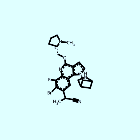 CC(C#N)c1cc2c(nc(OC[C@@H]3CCCN3C)c3ccn(C4C5CNC4C5)c32)c(F)c1Br